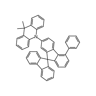 CC1(C)c2ccccc2N(c2ccc3c(c2)C2(c4ccccc4-c4ccccc42)c2cccc(-c4ccccc4)c2-3)c2ccccc21